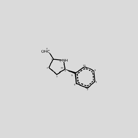 O=CC1CC[C@H](c2ccccc2)N1